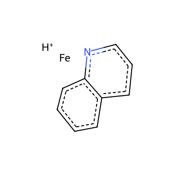 [Fe].[H+].c1ccc2ncccc2c1